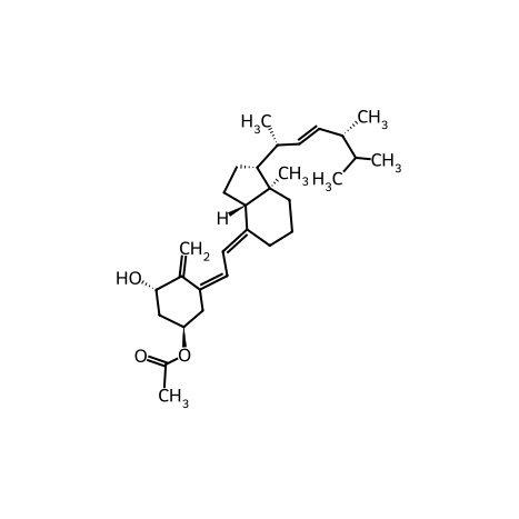 C=C1/C(=C\C=C2/CCC[C@]3(C)[C@@H]([C@H](C)/C=C/[C@H](C)C(C)C)CC[C@@H]23)C[C@@H](OC(C)=O)C[C@@H]1O